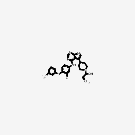 C=CC(O)N1CCC(c2c[nH]c3ncnc(Nc4ccc(Oc5cccc(C(F)(F)F)c5)c(Cl)c4)c23)CC1